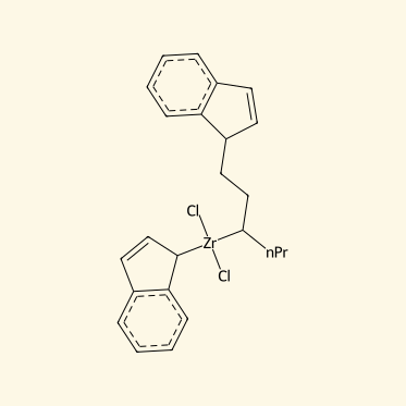 CCC[CH](CCC1C=Cc2ccccc21)[Zr]([Cl])([Cl])[CH]1C=Cc2ccccc21